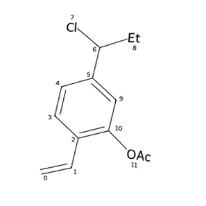 C=Cc1ccc(C(Cl)CC)cc1OC(C)=O